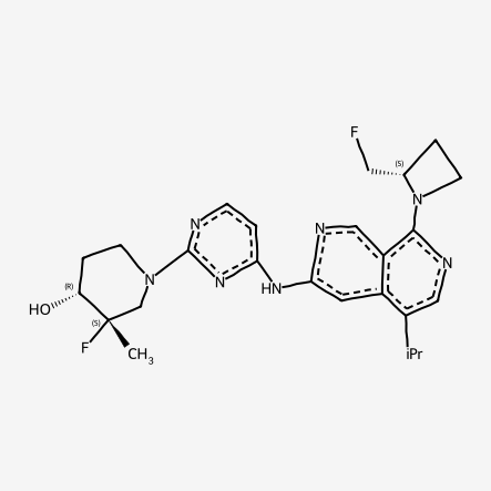 CC(C)c1cnc(N2CC[C@H]2CF)c2cnc(Nc3ccnc(N4CC[C@@H](O)[C@@](C)(F)C4)n3)cc12